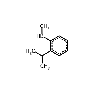 CBc1ccccc1C(C)C